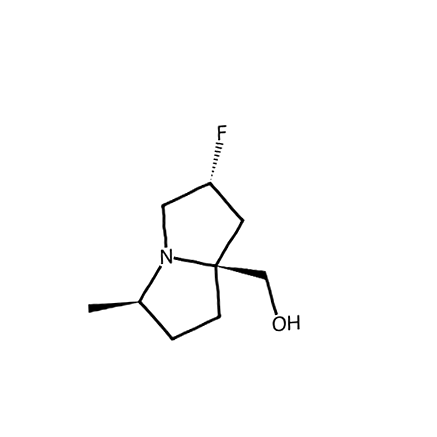 C[C@@H]1CC[C@@]2(CO)C[C@@H](F)CN12